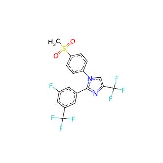 CS(=O)(=O)c1ccc(-n2cc(C(F)(F)F)nc2-c2cc(F)cc(C(F)(F)F)c2)cc1